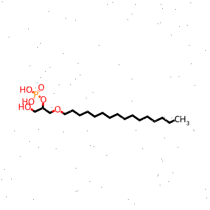 CCCCCCCCCCCCCCCCOCC(CO)OP(=O)(O)O